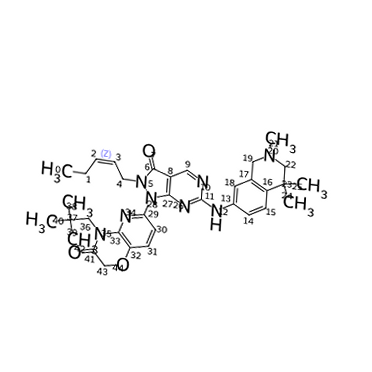 CC/C=C\Cn1c(=O)c2cnc(Nc3ccc4c(c3)CN(C)CC4(C)C)nc2n1-c1ccc2c(n1)N(CC(C)(C)C)C(=O)CO2